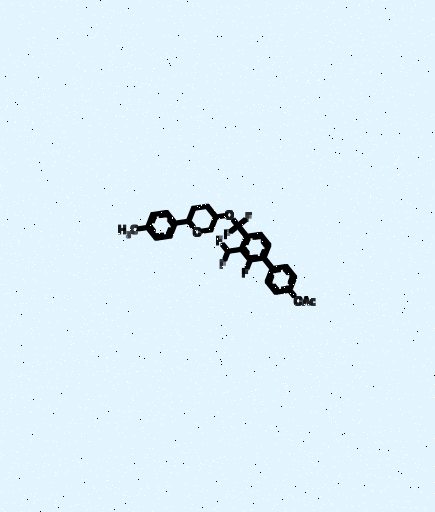 CC(=O)Oc1ccc(-c2ccc(C(F)(F)OC3CCC(c4ccc(C)cc4)OC3)c(C(F)F)c2F)cc1